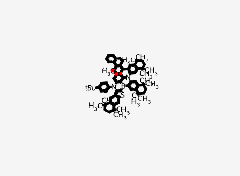 Cc1cc2c3c(c1)N(c1ccc(C(C)(C)C)cc1)c1c(sc4cc5c(cc14)C(C)(C)CCC5(C)C)B3c1cc3c(cc1N2c1cc2c(cc1-c1cccc4c1ccc1ccccc14)C(C)(C)CCC2(C)C)C(C)(C)CCC3(C)C